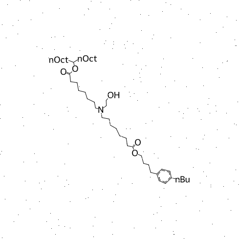 CCCCCCCCC(CCCCCCCC)OC(=O)CCCCCCCN(CCO)CCCCCCCC(=O)OCCCCc1ccc(CCCC)cc1